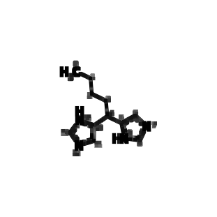 CCCCC(c1cnc[nH]1)c1cnc[nH]1